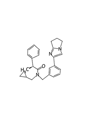 C[C@H](C(=O)N(Cc1cccc(-c2cn3c(n2)CCC3)c1)CC1CC1)c1ccccc1